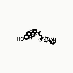 CC(CCC(=O)N1CCN(c2cccnn2)CC1)[C@H]1CC[C@H]2[C@@H]3CC=C4C[C@@H](O)CC[C@]4(C)[C@H]3CC[C@]12C